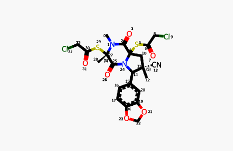 CN1C(=O)C2(SC(=O)CCl)C[C@](C)(C#N)C(c3ccc4c(c3)OCO4)N2C(=O)[C@]1(C)SC(=O)CCl